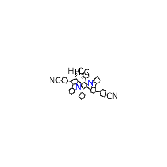 C=C/C=C(\C=C/C)c1c2c3ccc(-c4ccc(C#N)cc4)c4c5ccccc5n(c2c(-c2ccccc2)c2c5ccc(-c6ccc(C#N)cc6)c6c7ccccc7n(c12)c56)c34